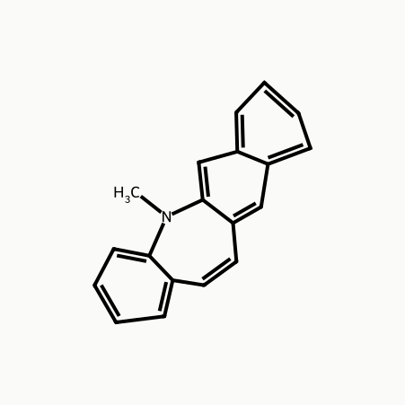 CN1c2ccccc2C=Cc2cc3ccccc3cc21